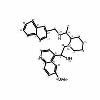 COc1ccc2nccc(C(O)CN3CCCCC3C(C)NCc3ccc4ccccc4c3)c2c1